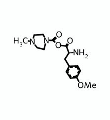 COc1ccc(C[C@H](N)C(=O)OC(=O)N2CCN(C)CC2)cc1